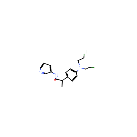 CC(C(=O)Nc1cccnc1)c1ccc(N(CCCl)CCCl)cc1